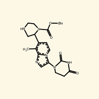 Cc1c(C2CNCCN2C(=O)OC(C)(C)C)ccn2c(N3CCC(=O)NC3=O)cnc12